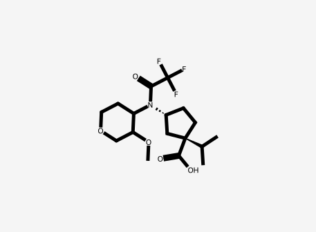 COC1COCCC1N(C(=O)C(F)(F)F)[C@@H]1CC[C@@](C(=O)O)(C(C)C)C1